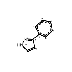 C1=CC(c2ccccc2)=[N+]N1